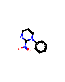 O=[N+]([O-])C1NCC=CN1c1ccccc1